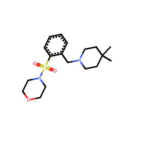 CC1(C)CCN(Cc2ccccc2S(=O)(=O)N2CCOCC2)CC1